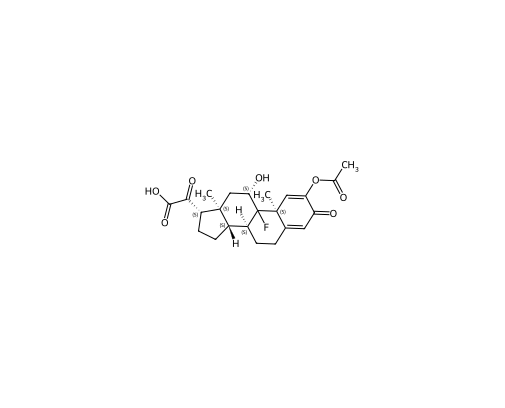 CC(=O)OC1=C[C@@]2(C)C(=CC1=O)CC[C@H]1[C@@H]3CC[C@H](C(=O)C(=O)O)[C@@]3(C)C[C@H](O)C12F